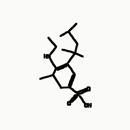 CCNC1=C(C(C)(C)CC(C)C)C=C(S(=O)(=O)O)CC1C